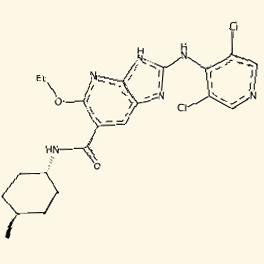 CCOc1nc2[nH]c(Nc3c(Cl)cncc3Cl)nc2cc1C(=O)N[C@H]1CC[C@H](C)CC1